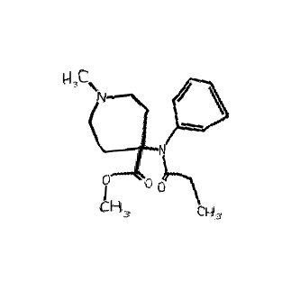 CCC(=O)N(c1ccccc1)C1(C(=O)OC)CCN(C)CC1